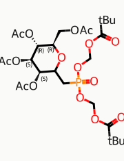 CC(=O)OC[C@H]1OC(CP(=O)(OCOC(=O)C(C)(C)C)OCOC(=O)C(C)(C)C)[C@@H](OC(C)=O)[C@@H](OC(C)=O)[C@@H]1OC(C)=O